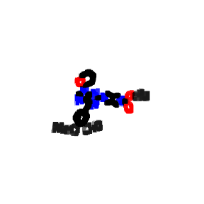 COc1ccc(-c2nc(N3CC4CN(C(=O)OC(C)(C)C)CC4C3)nc3c2ncn3C2CCCCO2)cc1C=O